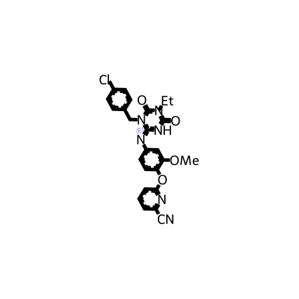 CCn1c(=O)[nH]/c(=N\c2ccc(Oc3cccc(C#N)n3)c(OC)c2)n(Cc2ccc(Cl)cc2)c1=O